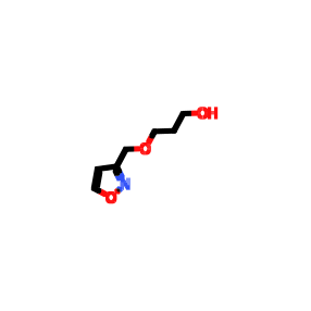 OCCCOCc1ccon1